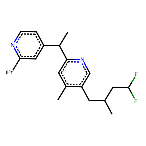 Cc1cc(C(C)c2ccnc(C(C)C)c2)ncc1CC(C)CC(F)F